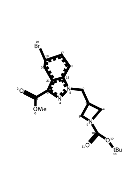 COC(=O)c1nn(CC2CN(C(=O)OC(C)(C)C)C2)c2ccc(Br)cc12